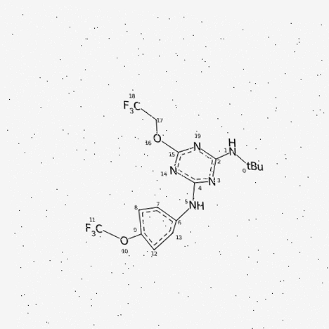 CC(C)(C)Nc1nc(Nc2ccc(OC(F)(F)F)cc2)nc(OCC(F)(F)F)n1